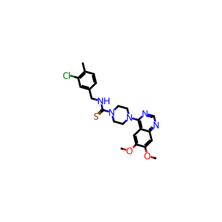 COc1cc2ncnc(N3CCN(C(=S)NCc4ccc(C)c(Cl)c4)CC3)c2cc1OC